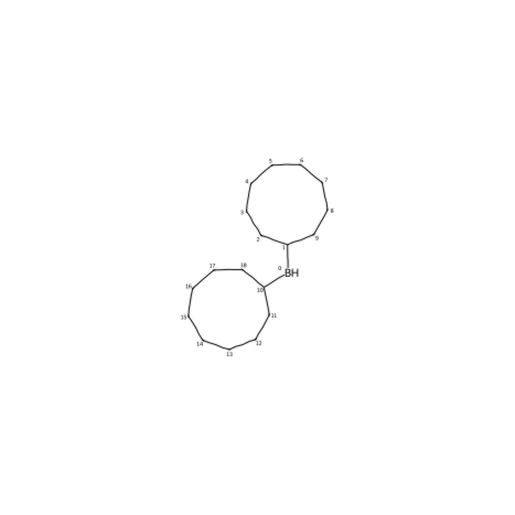 B(C1CCCCCCCC1)C1CCCCCCCC1